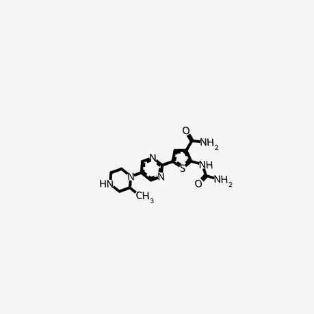 CC1CNCCN1c1cnc(-c2cc(C(N)=O)c(NC(N)=O)s2)nc1